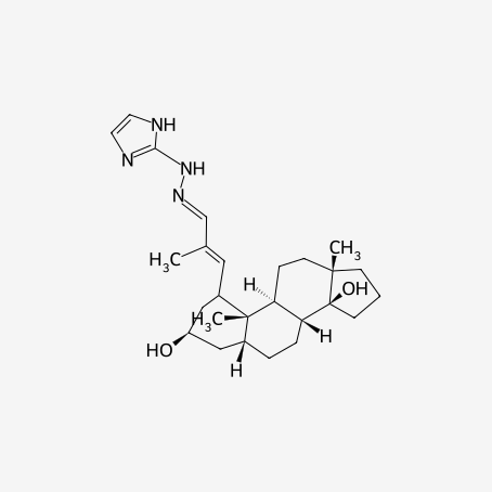 CC(/C=N/Nc1ncc[nH]1)=C\C1C[C@H](O)C[C@H]2CC[C@@H]3[C@H](CC[C@]4(C)CCC[C@]34O)[C@@]12C